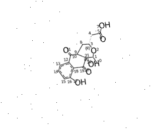 CC1O[C@@H](CC(=O)O)CC2C(=O)c3cccc(O)c3C(=O)[C@]12O